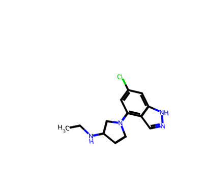 CCNC1CCN(c2cc(Cl)cc3[nH]ncc23)C1